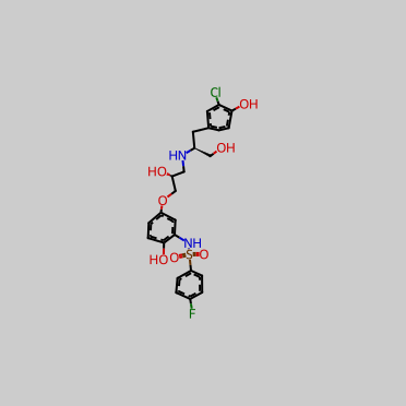 O=S(=O)(Nc1cc(OC[C@@H](O)CN[C@H](CO)Cc2ccc(O)c(Cl)c2)ccc1O)c1ccc(F)cc1